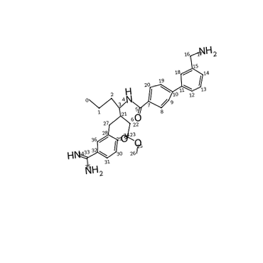 CCCC(NC(=O)c1ccc(-c2cccc(CN)c2)cc1)C(CC(=O)OC)Cc1cccc(C(=N)N)c1